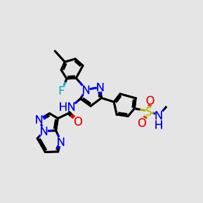 CNS(=O)(=O)c1ccc(-c2cc(NC(=O)c3cnn4cccnc34)n(-c3ccc(C)cc3F)n2)cc1